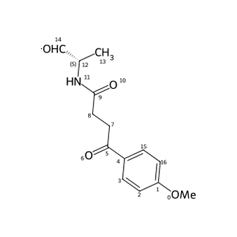 COc1ccc(C(=O)CCC(=O)N[C@@H](C)[C]=O)cc1